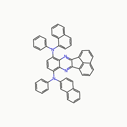 c1ccc(N(c2ccc3ccccc3c2)c2ccc(N(c3ccccc3)c3cccc4ccccc34)c3nc4c(nc23)-c2cccc3cccc-4c23)cc1